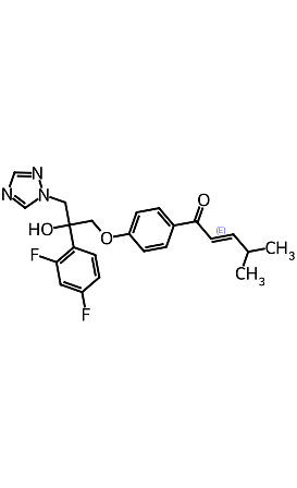 CC(C)/C=C/C(=O)c1ccc(OCC(O)(Cn2cncn2)c2ccc(F)cc2F)cc1